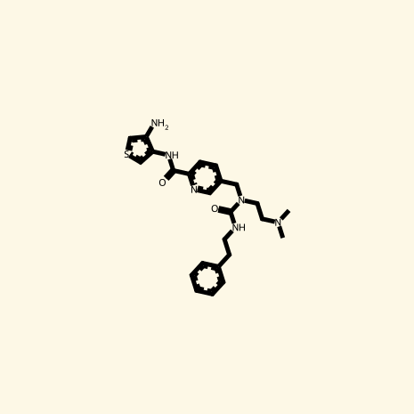 CN(C)CCN(Cc1ccc(C(=O)Nc2cscc2N)nc1)C(=O)NCCc1ccccc1